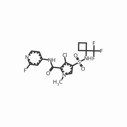 Cn1cc(S(=O)(=O)NC2(C(F)(F)F)CCC2)c(Cl)c1C(=O)Nc1ccnc(F)c1